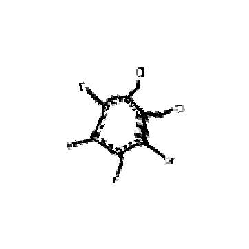 Fc1c(F)c(Cl)c(Cl)c(Br)c1F